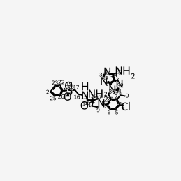 CCc1c(Cl)ccc(N2CCC(N)(C(=O)NCCS(=O)(=O)c3ccccc3)C2)c1Cn1cnc2c(N)ncnc21